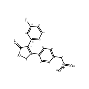 O=C1OCC(c2ccc(C[SH](=O)=O)cc2)=C1c1cccc(F)c1